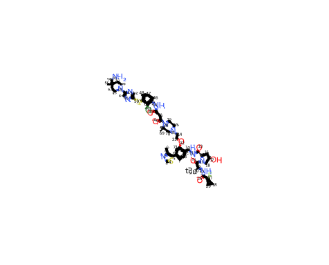 Cc1ncsc1-c1ccc(CNC(=O)[C@@H]2C[C@@H](O)CN2C(=O)[C@@H](NC(=O)C2(F)CC2)C(C)(C)C)c(OCCN2CCN(C(=O)CC(=O)Nc3cccc(Sc4cnc(N5CCC(C)(CN)CC5)cn4)c3Cl)[C@H](C)C2)c1